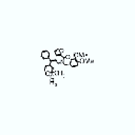 COc1ccc(CN(CCC(c2ccccc2)C2CCOC(C)(C)C2)C(=O)c2ccco2)cc1OC